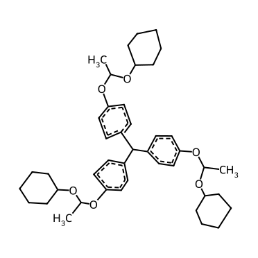 CC(Oc1ccc(C(c2ccc(OC(C)OC3CCCCC3)cc2)c2ccc(OC(C)OC3CCCCC3)cc2)cc1)OC1CCCCC1